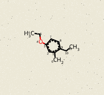 [CH2]c1cc(OCC)ccc1CC